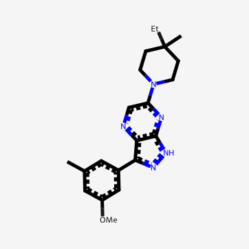 CCC1(C)CCN(c2cnc3c(-c4cc(C)cc(OC)c4)n[nH]c3n2)CC1